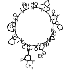 CCO[C@@H]1C[C@H]2C(=O)NC3(CCC3)C(=O)N(C)[C@@H](C3CCCC3)C(=O)N(C)[C@H](C(=O)N(C)C)CC(=O)N(C)[C@@H](CC3CCCC3)C(=O)N[C@@H]([C@@H](C)CC)C(=O)N(C)CC(=O)N(C)[C@H]3C/C=C\CCN(C3=O)[C@@H](CC3CCCCC3)C(=O)N(C)CC(=O)N[C@@H](CCc3cc(F)c(C(F)(F)F)c(F)c3)C(=O)N2C1